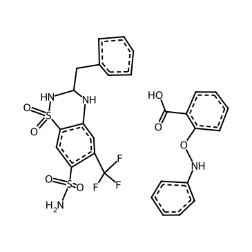 NS(=O)(=O)c1cc2c(cc1C(F)(F)F)NC(Cc1ccccc1)NS2(=O)=O.O=C(O)c1ccccc1ONc1ccccc1